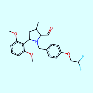 COc1cccc(OC)c1C1CC(C)C(C=O)N1Cc1ccc(OCC(F)F)cc1